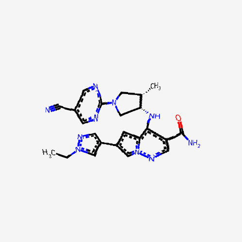 CCn1cc(-c2cc3c(N[C@@H]4CN(c5ncc(C#N)cn5)C[C@@H]4C)c(C(N)=O)cnn3c2)cn1